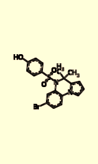 CC1(C)c2cccn2-c2ccc(Br)cc2N1S(=O)(=O)c1ccc(O)cc1